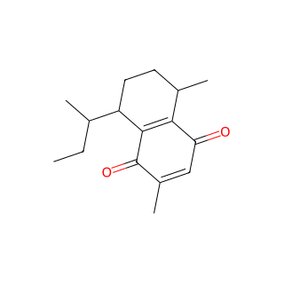 CCC(C)C1CCC(C)C2=C1C(=O)C(C)=CC2=O